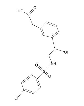 O=C(O)Cc1cccc(C(O)CNS(=O)(=O)c2ccc(Cl)cc2)c1